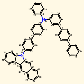 c1ccc(-c2ccc(-c3cccc(N(c4ccccc4)c4ccc(-c5ccc(-n6c7ccccc7c7cc8ccccc8cc76)cc5)cc4)c3)cc2)cc1